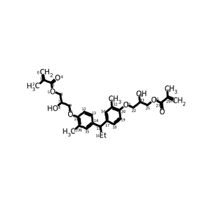 C=C(C)C(=O)OCC(O)COc1ccc(C(CC)c2ccc(OCC(O)COC(=O)C(=C)C)c(C)c2)cc1C